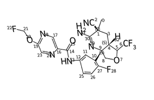 C[C@]1(C#N)C[C@@H]2C(C(F)(F)F)OC[C@]2(c2cc(NC(=O)c3cnc(OCF)cn3)ccc2F)N=C1N